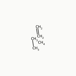 C.C=C.CC